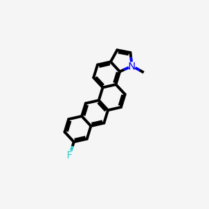 Cn1ccc2ccc3c4cc5ccc(F)cc5cc4ccc3c21